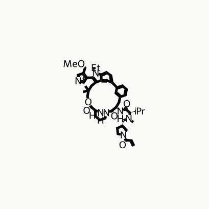 C=CC(=O)N1CC[C@H](CN(C)[C@H](C(=O)N[C@H]2Cc3cccc(c3)-c3ccc4c(c3)c(c(C3=C(COC)C=[N+]=C3)n4CC)CC(C)(C)COC(=O)[C@@H]3CCCN(N3)C2=O)C(C)C)C1